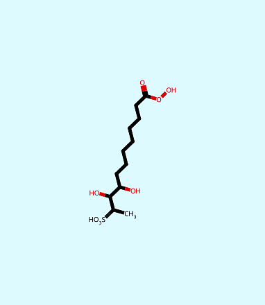 CC(C(O)C(O)CCCCCCCC(=O)OO)S(=O)(=O)O